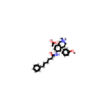 COc1cccc([C@@]23CC[N+](C)(C)C[C@@]2(OC(C)=O)CC[C@@H](NC(=O)CCCCCc2ccccc2)C3)c1